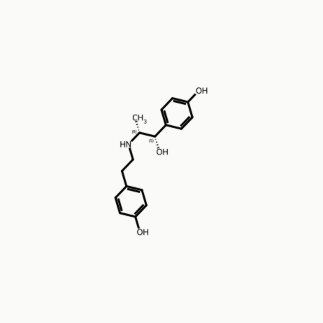 C[C@@H](NCCc1ccc(O)cc1)[C@@H](O)c1ccc(O)cc1